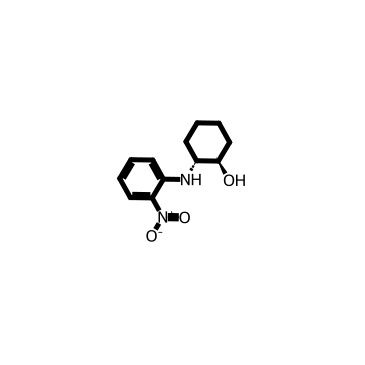 O=[N+]([O-])c1ccccc1N[C@@H]1CCCC[C@H]1O